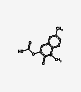 Cc1ccc2c(c1)cc(OC(=O)O)c(=O)n2C